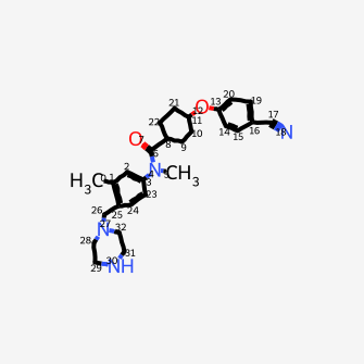 Cc1cc(N(C)C(=O)C2CCC(Oc3ccc(C#N)cc3)CC2)ccc1CN1CCNCC1